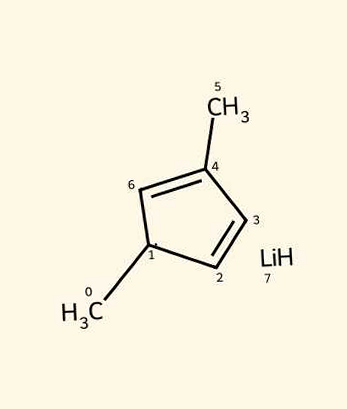 C[C]1C=CC(C)=C1.[LiH]